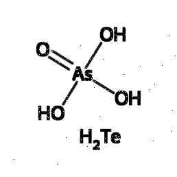 O=[As](O)(O)O.[TeH2]